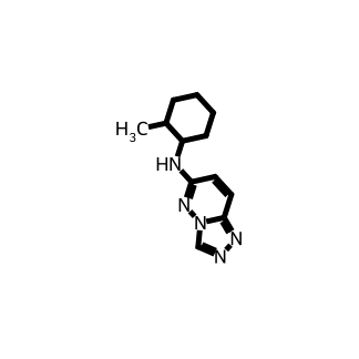 CC1CCCCC1Nc1ccc2nncn2n1